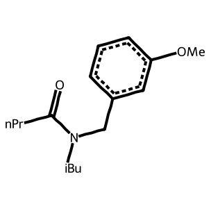 CCCC(=O)N(Cc1cccc(OC)c1)C(C)CC